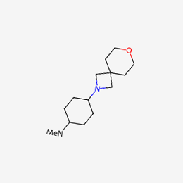 CNC1CCC(N2CC3(CCOCC3)C2)CC1